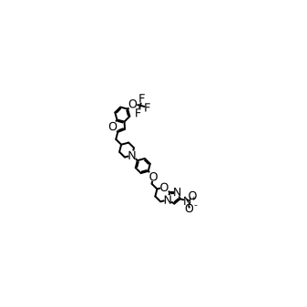 O=[N+]([O-])c1cn2c(n1)OC(COc1ccc(N3CCC(Cc4cc5cc(OC(F)(F)F)ccc5o4)CC3)cc1)CC2